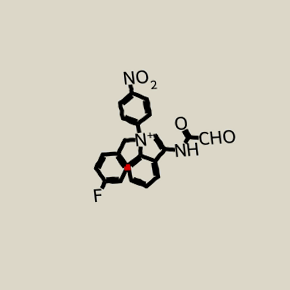 O=CC(=O)NC1=C[N+](Cc2ccc(F)cc2)(c2ccc([N+](=O)[O-])cc2)c2ccccc21